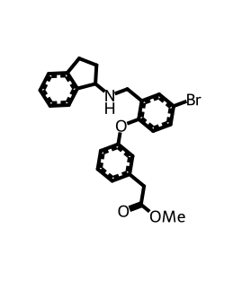 COC(=O)Cc1cccc(Oc2ccc(Br)cc2CNC2CCc3ccccc32)c1